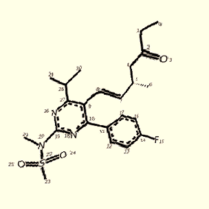 CCC(=O)C[C@H](C)/C=C/c1c(-c2ccc(F)cc2)nc(N(C)S(C)(=O)=O)nc1C(C)C